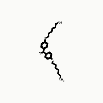 CCCCCCCSc1ccc(C(=O)c2ccc(SCCCCCCS)cc2)cc1